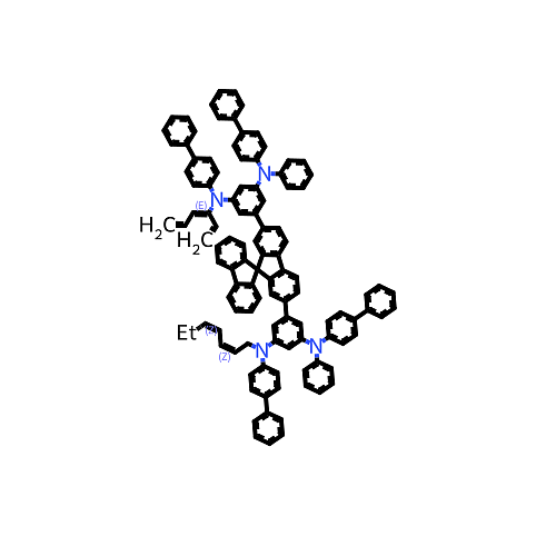 C=C/C=C(\C=C)N(c1ccc(-c2ccccc2)cc1)c1cc(-c2ccc3c(c2)C2(c4ccccc4-c4ccccc42)c2cc(-c4cc(N(C/C=C\C=C/CC)c5ccc(-c6ccccc6)cc5)cc(N(c5ccccc5)c5ccc(-c6ccccc6)cc5)c4)ccc2-3)cc(N(c2ccccc2)c2ccc(-c3ccccc3)cc2)c1